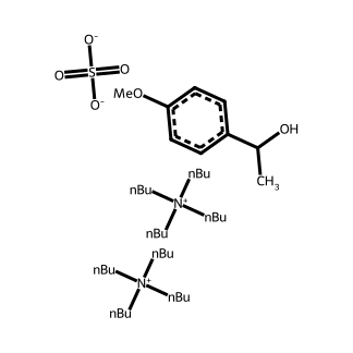 CCCC[N+](CCCC)(CCCC)CCCC.CCCC[N+](CCCC)(CCCC)CCCC.COc1ccc(C(C)O)cc1.O=S(=O)([O-])[O-]